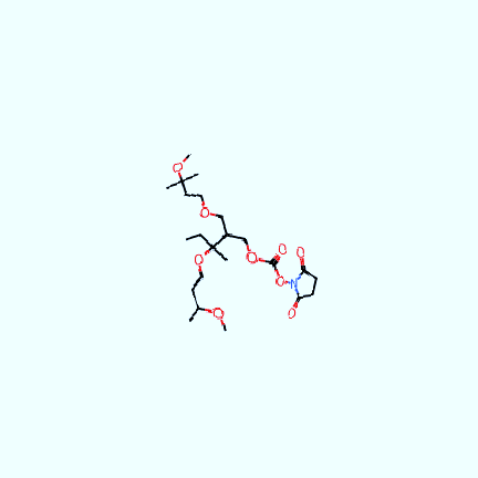 CCC(C)(OCCC(C)OC)C(COCCC(C)(C)OC)COC(=O)ON1C(=O)CCC1=O